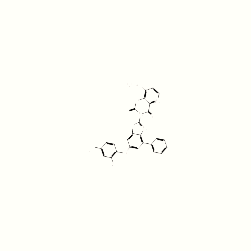 COc1ccnc2c(=O)n(-c3nc4c(-c5ccccc5)cc(Oc5ccc(P)cc5Cl)cc4s3)c(=S)oc12